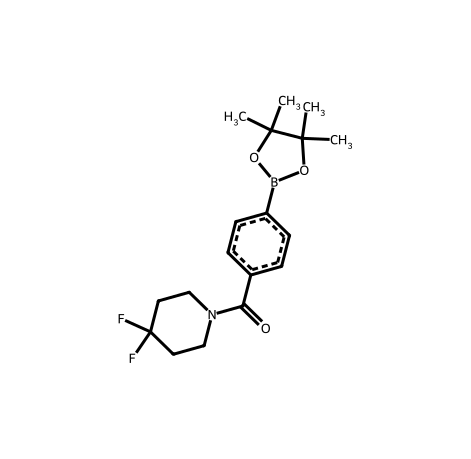 CC1(C)OB(c2ccc(C(=O)N3CCC(F)(F)CC3)cc2)OC1(C)C